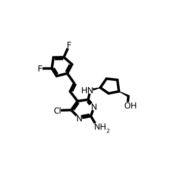 Nc1nc(Cl)c(/C=C/c2cc(F)cc(F)c2)c(N[C@H]2CC[C@@H](CO)C2)n1